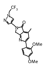 COc1ccc(-c2cc(C)c3c(n2)CN(c2cnn(CC(F)(F)F)c2)C3=O)c(OC)c1